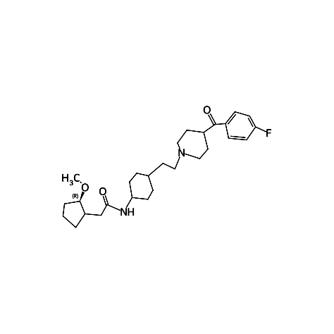 CO[C@@H]1CCCC1CC(=O)NC1CCC(CCN2CCC(C(=O)c3ccc(F)cc3)CC2)CC1